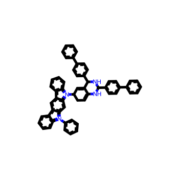 C1=C2NC(c3ccc(-c4ccccc4)cc3)NC(c3ccc(-c4ccccc4)cc3)C2=CC(n2c3ccccc3c3cc4c5ccccc5n(-c5ccccc5)c4cc32)C1